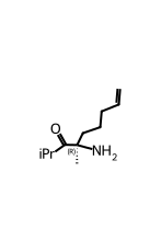 C=CCCC[C@@](C)(N)C(=O)C(C)C